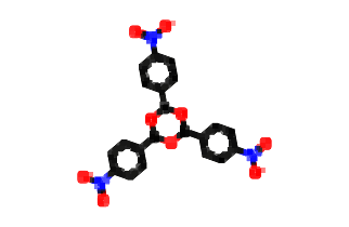 O=[N+]([O-])c1ccc(B2OB(c3ccc([N+](=O)[O-])cc3)OB(c3ccc([N+](=O)[O-])cc3)O2)cc1